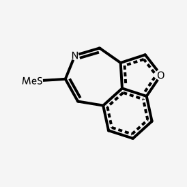 CSC1=Cc2cccc3occ(c23)C=N1